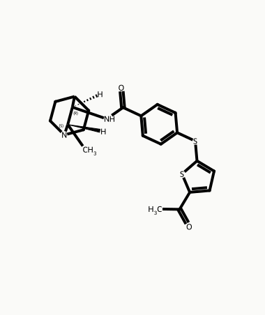 CC(=O)c1ccc(Sc2ccc(C(=O)N[C@@H]3C4CCN(CC4)[C@H]3C)cc2)s1